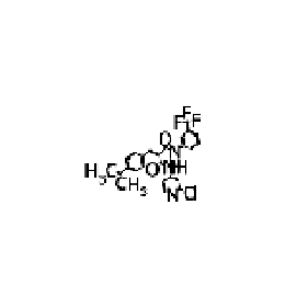 CC(C)c1ccc(C=C(C(=O)Nc2cccc(C(F)(F)F)c2)C(=O)Nc2ccnc(Cl)c2)cc1